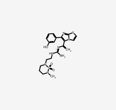 C=C(/N=C(\N)NCCN1CCCN(C)S1(=O)=O)c1c(-c2cccc(O)c2)nc2sccn12